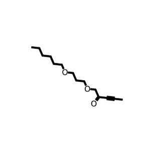 CC#CC(=O)COCCCOCCCCCC